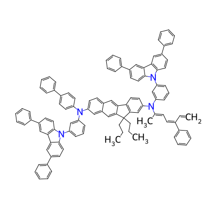 C=C/C(=C\C=C(/C)N(c1cccc(-n2c3ccc(-c4ccccc4)cc3c3cc(-c4ccccc4)ccc32)c1)c1ccc2c(c1)C(CCC)(CCC)c1cc3cc(N(c4ccc(-c5ccccc5)cc4)c4cccc(-n5c6ccc(-c7ccccc7)cc6c6cc(-c7ccccc7)ccc65)c4)ccc3cc1-2)c1ccccc1